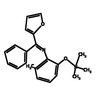 Cc1cccc(O[Si](C)(C)C)c1N=C(c1ccccc1)c1ccco1